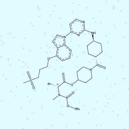 CC(C)[C@H](C(=O)OC1CCN(C(=O)[C@H]2CC[C@H](Nc3nccc(-n4ccc5c(OCCCS(C)(=O)=O)cccc54)n3)CC2)CC1)N(C)C(=O)OC(C)(C)C